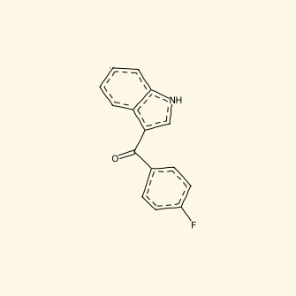 O=C(c1ccc(F)cc1)c1c[nH]c2c[c]ccc12